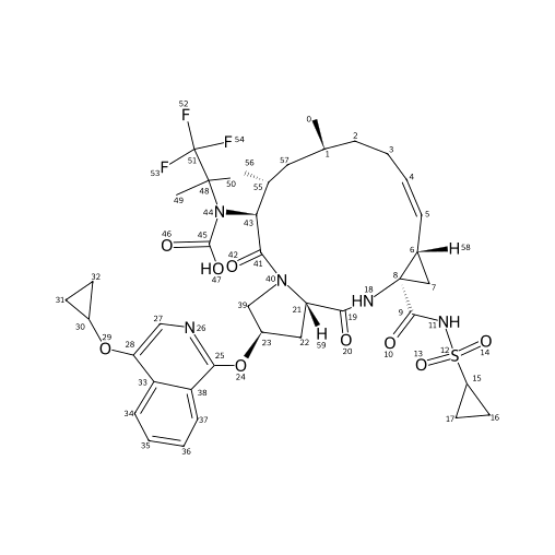 C[C@H]1CCC=C[C@@H]2C[C@@]2(C(=O)NS(=O)(=O)C2CC2)NC(=O)[C@@H]2C[C@@H](Oc3ncc(OC4CC4)c4ccccc34)CN2C(=O)[C@@H](N(C(=O)O)C(C)(C)C(F)(F)F)[C@H](C)C1